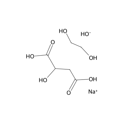 O=C(O)CC(O)C(=O)O.OCCO.[Na+].[OH-]